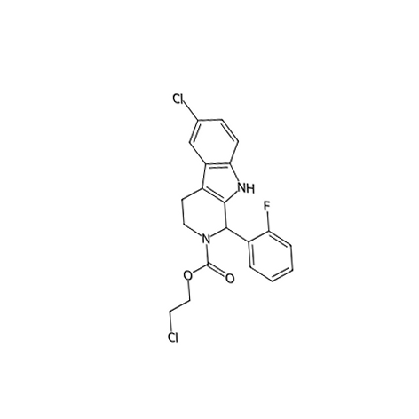 O=C(OCCCl)N1CCc2c([nH]c3ccc(Cl)cc23)C1c1ccccc1F